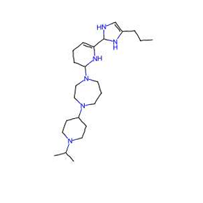 CCCC1=CNC(C2=CCCC(N3CCCN(C4CCN(C(C)C)CC4)CC3)N2)N1